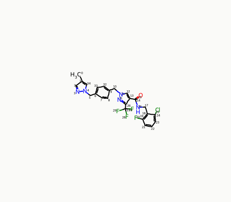 Cc1cnn(Cc2ccc(Cn3cc(C(=O)NCc4c(F)cccc4Cl)c(C(F)(F)F)n3)cc2)c1